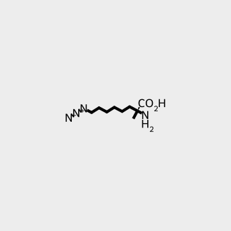 C[C@](N)(CCCCCCN=[N+]=[N-])C(=O)O